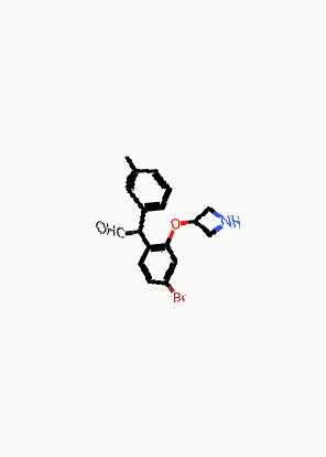 Cc1cccc(C(C=O)c2ccc(Br)cc2OC2CNC2)c1